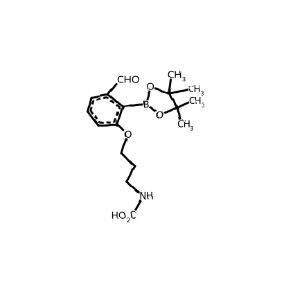 CC1(C)OB(c2c(C=O)cccc2OCCCNC(=O)O)OC1(C)C